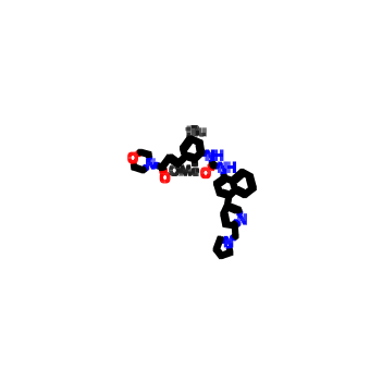 COc1c(C=CC(=O)N2CCOCC2)cc(C(C)(C)C)cc1NC(=O)Nc1ccc(-c2ccc(CN3CCCC3)nc2)c2ccccc12